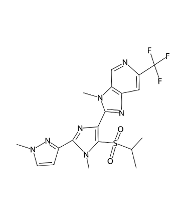 CC(C)S(=O)(=O)c1c(-c2nc3cc(C(F)(F)F)ncc3n2C)nc(-c2ccn(C)n2)n1C